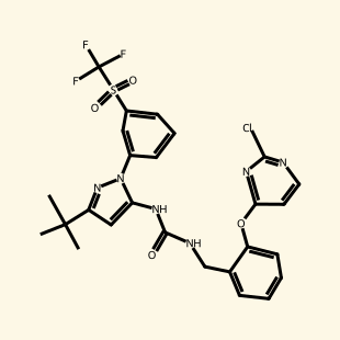 CC(C)(C)c1cc(NC(=O)NCc2ccccc2Oc2ccnc(Cl)n2)n(-c2cccc(S(=O)(=O)C(F)(F)F)c2)n1